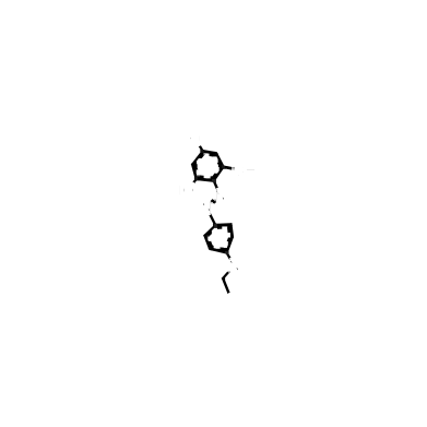 CCNc1ccc(N=Nc2c(O)cc(O)cc2O)cc1